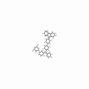 Cc1cc(C)cc(-c2cccc(N(c3ccccc3)c3ccc(-c4ccc(-n5c6ccccc6c6ccccc65)cc4)cc3)c2)c1